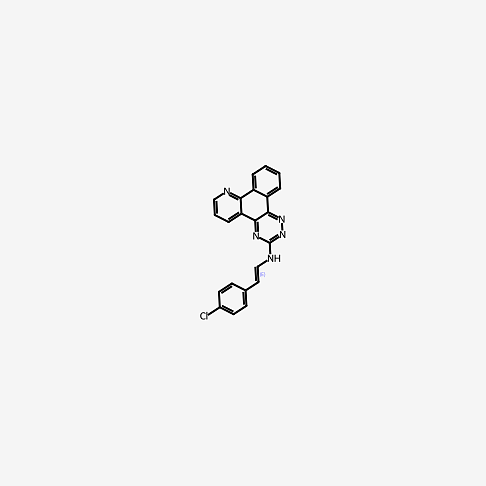 Clc1ccc(/C=C/Nc2nnc3c4ccccc4c4ncccc4c3n2)cc1